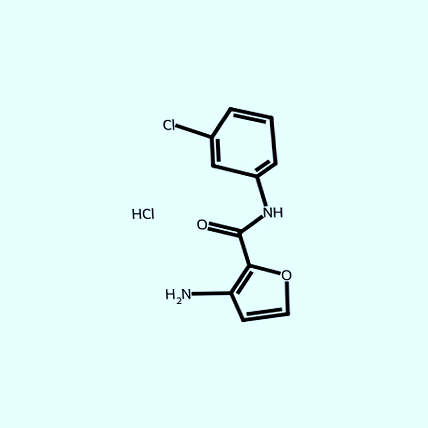 Cl.Nc1ccoc1C(=O)Nc1cccc(Cl)c1